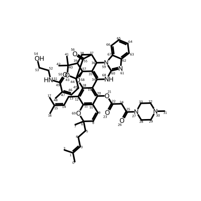 CC(C)=CCCC1(C)C=Cc2c(c(CC=C(C)C)c3c(c2OC(=O)CC(=O)N2CCN(C)CC2)C2=C4C(C5CC6C(C)(C)OC(C/C=C(/C)C(=O)NCCO)(C5=O)C46O3)n3c(nc4ccccc43)N2)O1